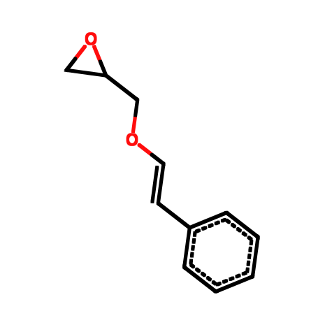 C(=Cc1ccccc1)OCC1CO1